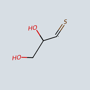 OCC(O)[C]=S